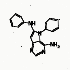 Nc1ncnc2cc(Nc3ccccc3)n(-c3cc[c]cc3)c12